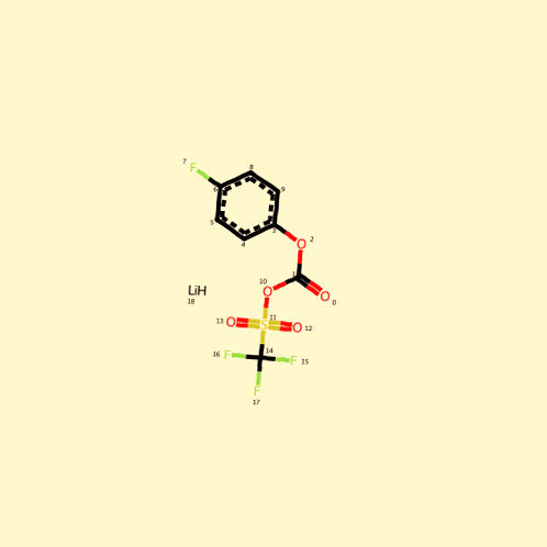 O=C(Oc1ccc(F)cc1)OS(=O)(=O)C(F)(F)F.[LiH]